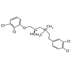 C[N+](C)(CCc1ccc(Cl)c(Cl)c1)C[C@@H](O)COc1cccc(Cl)c1Cl